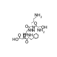 C[C@H](NC(=O)[C@H](CCCCN)NC(=O)[C@@H](N)CO)C(=O)N[C@@H](Cc1ccccc1)C(=O)NCC(=O)O